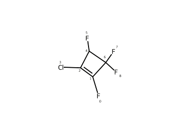 FC1=C(Cl)C(F)C1(F)F